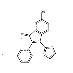 O=C1C(c2ccccn2)=C(c2cccs2)c2ccc(O)cc21